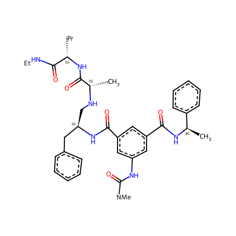 CCNC(=O)[C@@H](NC(=O)[C@H](C)NC[C@H](Cc1ccccc1)NC(=O)c1cc(NC(=O)NC)cc(C(=O)N[C@H](C)c2ccccc2)c1)C(C)C